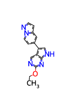 CCOc1ncc2c(-c3ccn4nccc4c3)c[nH]c2n1